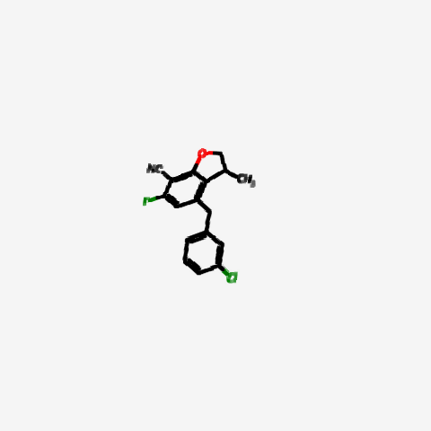 CC1COc2c(C#N)c(F)cc(Cc3cccc(Cl)c3)c21